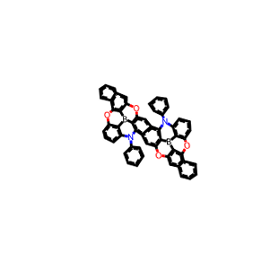 c1ccc(N2c3cccc4c3B3c5c(cc6ccccc6c5O4)Oc4cc5c6c7c(cc5c2c43)Oc2cc3ccccc3c3c2B7c2c(cccc2N6c2ccccc2)O3)cc1